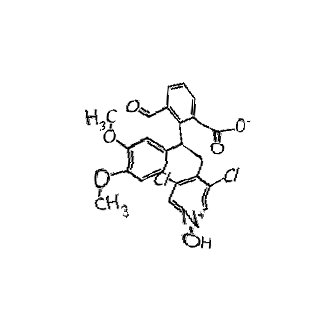 COc1ccc([C@H](Cc2c(Cl)c[n+](O)cc2Cl)c2c(C=O)cccc2C(=O)[O-])cc1OC